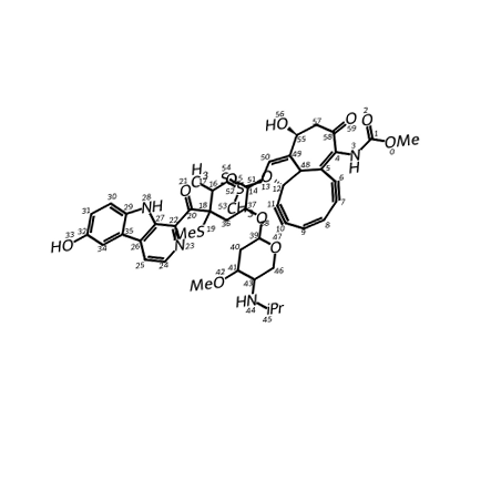 COC(=O)NC1=C2C#C/C=C\C#C[C@H](OC3OC(C)C(SC)(C(=O)c4nccc5c4[nH]c4ccc(O)cc45)CC3OC3CC(OC)C(NC(C)C)CO3)C2/C(=C\CS(C)=S)[C@@H](O)CC1=O